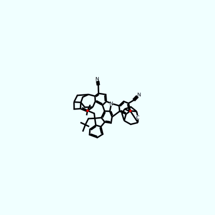 CC(C)(C)CC1(CC(C)(C)C)c2ccccc2-c2cc3c4c5c(c(C#N)cc4n4c6cc(C#N)c7c(c6c(c21)c34)C1CC2CC3CC7CC32C1)C1CC2CC(C1)CC5C2